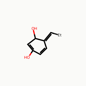 CCC=C1C=CC(O)=CC1O